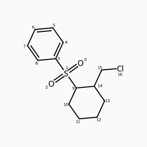 O=S(=O)(c1ccccc1)C1CCCCC1CCl